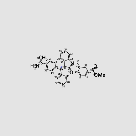 C=S(N)c1ccc(/C(=C2/C(=O)N(Cc3cccc(C(=O)OC)c3)c3ccccc32)c2ccccc2)cc1